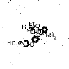 CCC(OCc1cccc(N)c1COc1ccc(OC2CCN(C(=O)O)CC2)cc1)[Si](C)(C)C